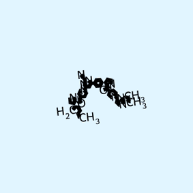 C=C(/C=C\C=C/C)[C@@H]1CC=NN1C(=O)C1CCN(c2cc(-c3ccc([C@@H]4CC=NN4C(=O)C4CCN(c5ccnc(N(C)C)n5)CC4)cc3)nc(C#N)n2)CC1